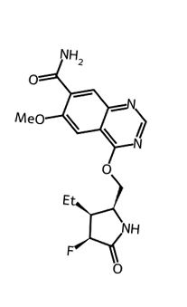 CC[C@@H]1[C@H](F)C(=O)N[C@@H]1COc1ncnc2cc(C(N)=O)c(OC)cc12